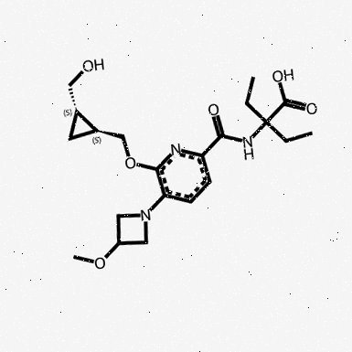 CCC(CC)(NC(=O)c1ccc(N2CC(OC)C2)c(OC[C@H]2C[C@@H]2CO)n1)C(=O)O